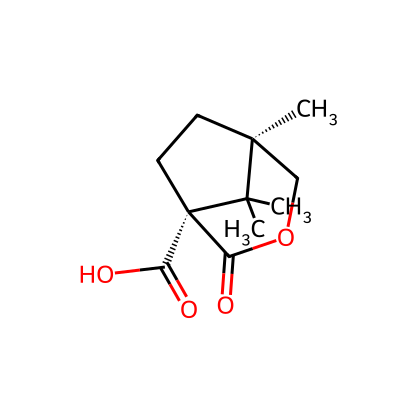 CC1(C)[C@@]2(C)CC[C@]1(C(=O)O)C(=O)OC2